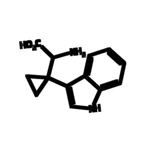 NC(C(=O)O)C1(c2c[nH]c3ccccc23)CC1